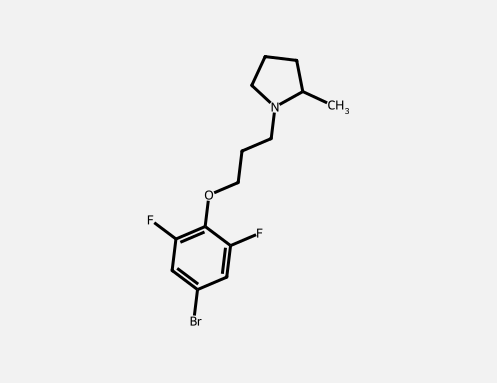 CC1CCCN1CCCOc1c(F)cc(Br)cc1F